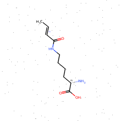 C/C=C/C(=O)NCCCC[C@H](N)C(=O)O